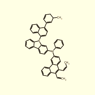 C=Cc1c(/C=C\C)c2ccc(N(c3ccccc3)c3ccc4c5ccccc5n(-c5ccc(C6=CC(C)CC=C6)c6ccccc56)c4c3)cc2c2ccccc12